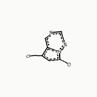 Clc1cc(Cl)n2ncncc12